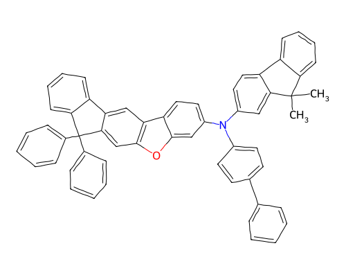 CC1(C)c2ccccc2-c2ccc(N(c3ccc(-c4ccccc4)cc3)c3ccc4c(c3)oc3cc5c(cc34)-c3ccccc3C5(c3ccccc3)c3ccccc3)cc21